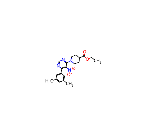 CCOC(=O)C1CCN(c2ncnc(-c3cc(C)cc(C)c3)c2[N+](=O)[O-])CC1